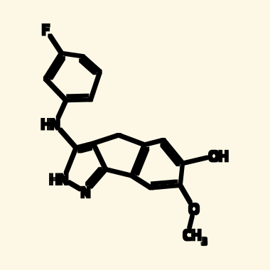 COc1cc2c(cc1O)Cc1c-2n[nH]c1Nc1cccc(F)c1